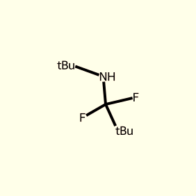 CC(C)(C)NC(F)(F)C(C)(C)C